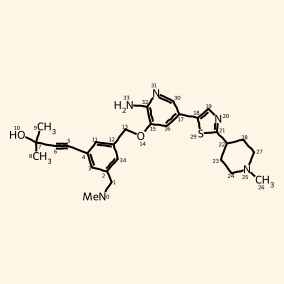 CNCc1cc(C#CC(C)(C)O)cc(COc2cc(-c3cnc(C4CCN(C)CC4)s3)cnc2N)c1